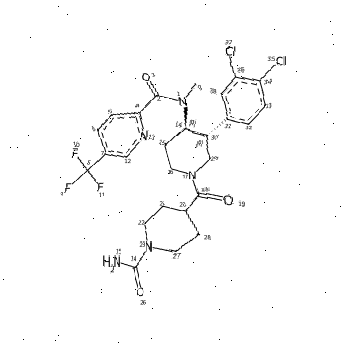 CN(C(=O)c1ccc(C(F)(F)F)cn1)[C@@H]1CCN(C(=O)C2CCN(C(N)=O)CC2)C[C@H]1c1ccc(Cl)c(Cl)c1